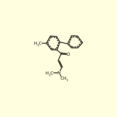 Cc1ccc(-c2ccccc2)c(C(=O)/C=C/N(C)C)c1